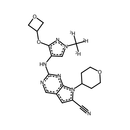 [2H]C([2H])([2H])n1cc(Nc2ncc3cc(C#N)n(C4CCOCC4)c3n2)c(OC2COC2)n1